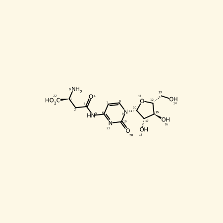 N[C@@H](CC(=O)Nc1ccn([C@@H]2O[C@H](CO)[C@@H](O)[C@@H]2O)c(=O)n1)C(=O)O